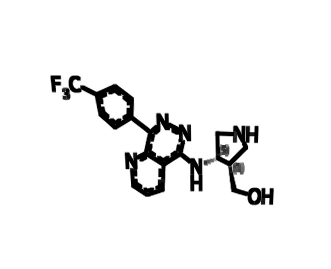 OC[C@@H]1CNC[C@H]1Nc1nnc(-c2ccc(C(F)(F)F)cc2)c2ncccc12